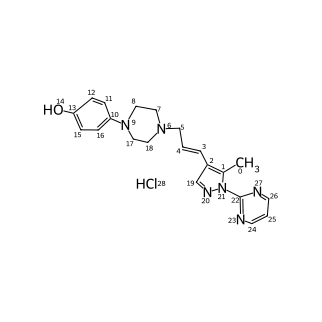 Cc1c(C=CCN2CCN(c3ccc(O)cc3)CC2)cnn1-c1ncccn1.Cl